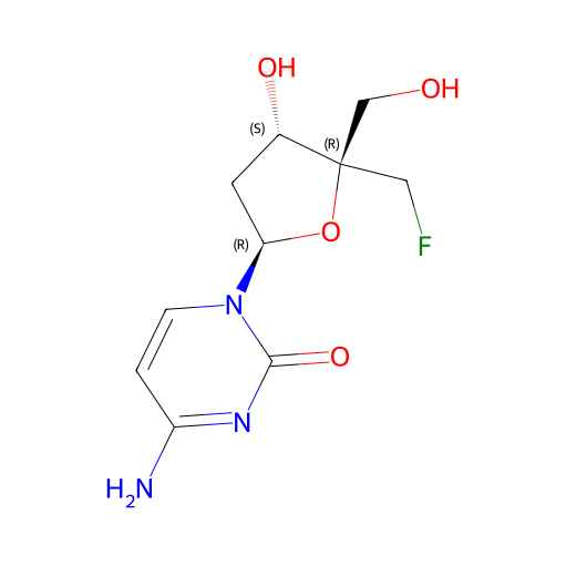 Nc1ccn([C@H]2C[C@H](O)[C@](CO)(CF)O2)c(=O)n1